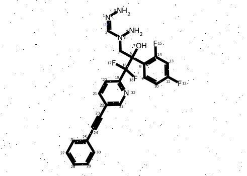 N/N=C\N(N)CC(O)(c1ccc(F)cc1F)C(F)(F)c1ccc(C#Cc2ccccc2)cn1